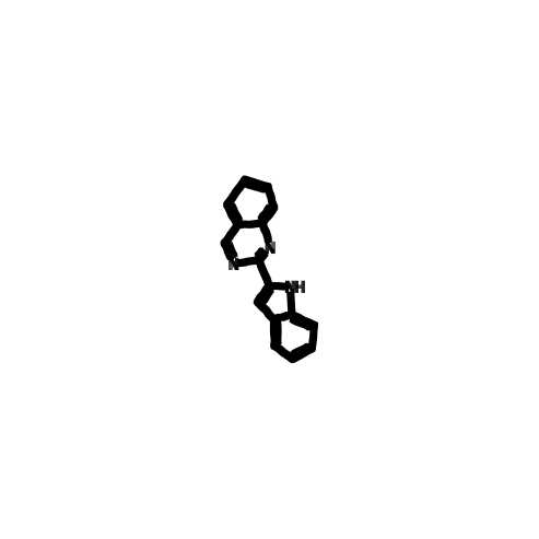 c1ccc2nc(-c3cc4ccccc4[nH]3)ncc2c1